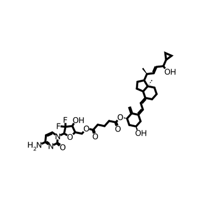 C=C1/C(=C\C=C2/CCC[C@@]3(C)C2CCC3[C@@H](C)/C=C/C(O)C2CC2)C[C@@H](O)C[C@@H]1OC(=O)CCCC(=O)OCC1OC(n2ccc(N)nc2=O)C(F)(F)C1O